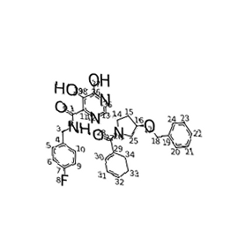 O=C(NCc1ccc(F)cc1)c1nc([C@@H]2C[C@@H](OCc3ccccc3)CN2C(=O)C2=CC=CCC2)nc(O)c1O